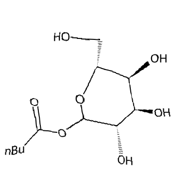 CCCCC(=O)OC1O[C@H](CO)[C@@H](O)[C@@H](O)[C@@H]1O